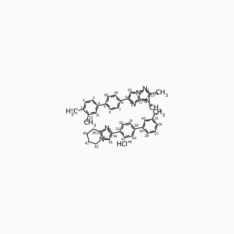 Cc1ccc(-c2ccc(-c3cn4nc(C)n(C)c4n3)cc2)cc1C.Cc1cccc(-c2ccc(-c3cn4c(n3)CCCC4)cc2)c1.Cl